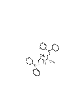 CC(CCP(c1ccccc1)c1ccccc1)NC(C)CCP(c1ccccc1)c1ccccc1